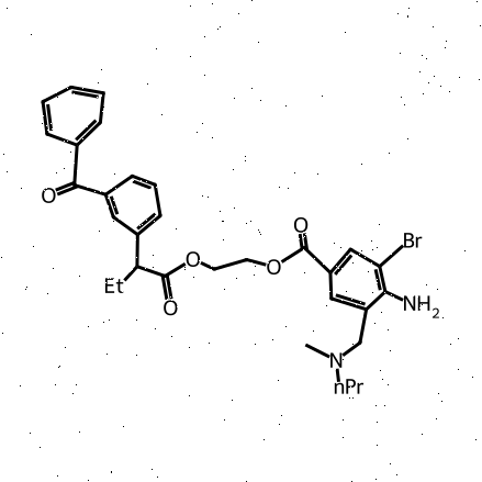 CCCN(C)Cc1cc(C(=O)OCCOC(=O)C(CC)c2cccc(C(=O)c3ccccc3)c2)cc(Br)c1N